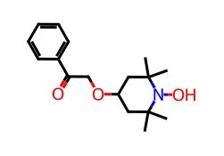 CC1(C)CC(OCC(=O)c2ccccc2)CC(C)(C)N1O